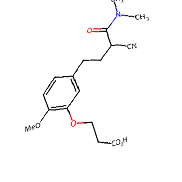 COc1ccc(CCC(C#N)C(=O)N(C)C)cc1OCCC(=O)O